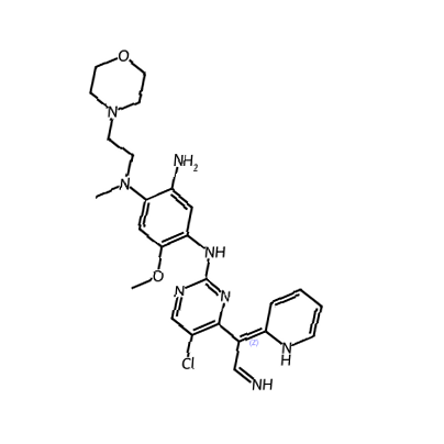 COc1cc(N(C)CCN2CCOCC2)c(N)cc1Nc1ncc(Cl)c(/C(C=N)=C2\C=CC=CN2)n1